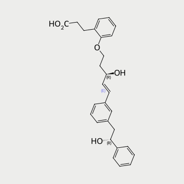 O=C(O)CCc1ccccc1OCC[C@@H](O)/C=C/c1cccc(C[C@@H](O)c2ccccc2)c1